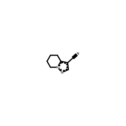 N#Cc1cnn2c1CCCC2